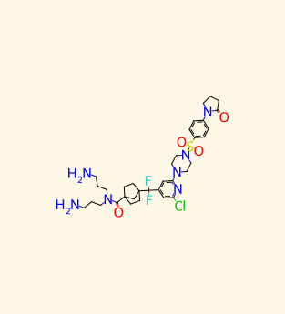 NCCCN(CCCN)C(=O)C12CCC(C(F)(F)c3cc(Cl)nc(N4CCN(S(=O)(=O)c5ccc(N6CCCC6=O)cc5)CC4)c3)(CC1)C2